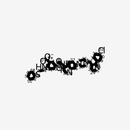 O=[N+]([O-])c1cc(S(=O)(=O)Nc2ncnc3cc(N4CCN(Cc5cccnc5-c5ccc(Cl)cc5)CC4)ccc23)ccc1NCCSc1ccccc1